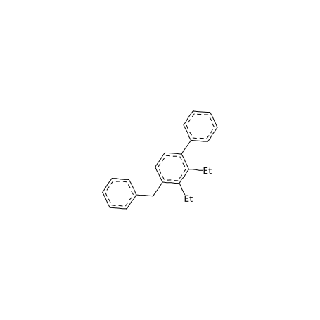 CCc1c(Cc2ccccc2)ccc(-c2ccccc2)c1CC